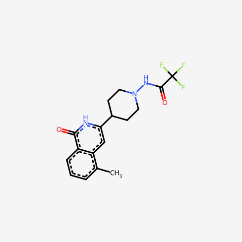 Cc1cccc2c(=O)[nH]c(C3CCN(NC(=O)C(F)(F)F)CC3)cc12